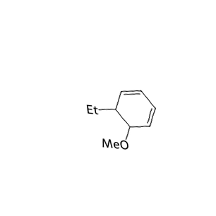 CCC1C=CC=CC1OC